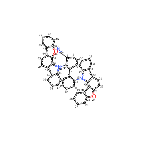 N#Cc1cccc(-c2ccccc2-n2c3ccccc3c3ccc4oc5ccccc5c4c32)c1-n1c2ccccc2c2ccc3c4ccccc4oc3c21